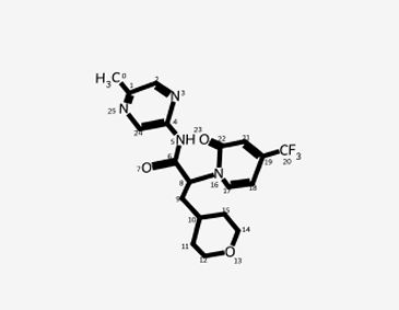 Cc1cnc(NC(=O)C(CC2CCOCC2)n2ccc(C(F)(F)F)cc2=O)cn1